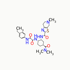 CCc1ccc(NC(=O)C(=O)N[C@H]2CC[C@H](C(=O)N(C)C)C[C@H]2NC(=O)c2nc3c(s2)CN(C)CC3)cc1